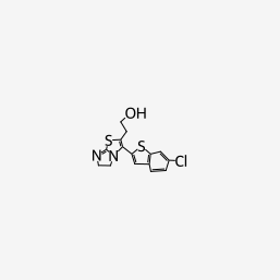 OCCC1=C(c2cc3ccc(Cl)cc3s2)N2CCN=C2S1